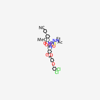 CCN(C(C)=O)c1nc(C)c(S(=O)(=O)N2Cc3cc4c(cc3C[C@H]2C(=O)NC(Cc2ccc(-c3ccc(C#N)cc3)cc2)C(=O)OC)OC[C@@H](c2ccc(OCc3ccc(Cl)c(Cl)c3)cc2)O4)s1